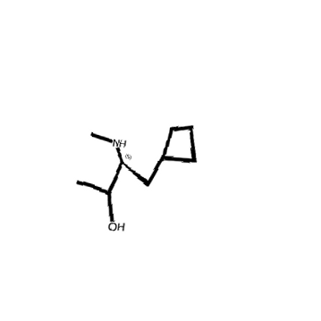 CN[C@@H](CC1CCC1)C(C)O